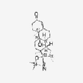 C[C@H]1C[C@H]2[C@@H]3CCC4=CC(=O)CC[C@]4(C)[C@@]3(O)CC[C@]2(C)[C@@]1(C#N)O[Si](C)(C)C